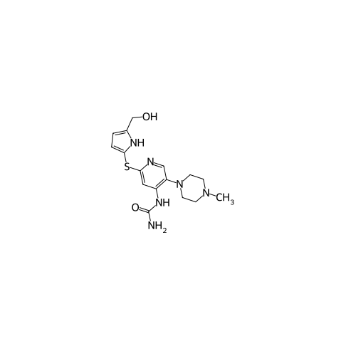 CN1CCN(c2cnc(Sc3ccc(CO)[nH]3)cc2NC(N)=O)CC1